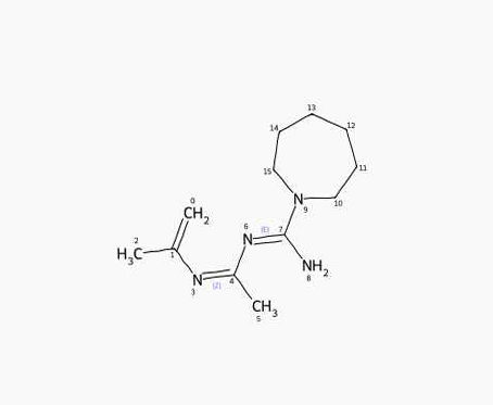 C=C(C)/N=C(C)\N=C(/N)N1CCCCCC1